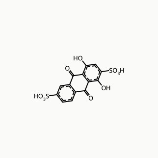 O=C1c2cc(S(=O)(=O)O)ccc2C(=O)c2c(O)c(S(=O)(=O)O)cc(O)c21